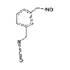 O=C=NCc1cccc(CN=O)c1